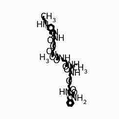 CCCN[C@H]1CCc2nc(NC(=O)COCC(=O)N(C)CC(=O)NCCC(=O)N[C@@H](C)C(=O)NCCOCCC(=O)N[C@@H](Cc3ccccc3)C(N)=O)sc2C1